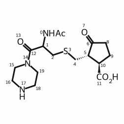 CC(=O)NC(CSC[C@@H]1C(=O)CC[C@H]1C(=O)O)C(=O)N1CCNCC1